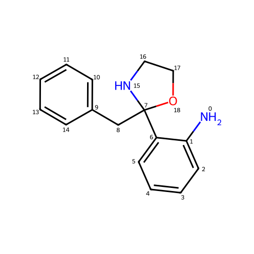 Nc1ccccc1C1(Cc2ccccc2)NCCO1